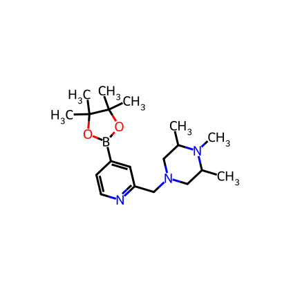 CC1CN(Cc2cc(B3OC(C)(C)C(C)(C)O3)ccn2)CC(C)N1C